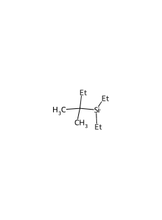 CC[Si](CC)C(C)(C)CC